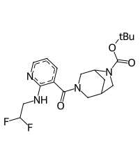 CC(C)(C)OC(=O)N1CC2CC1CN(C(=O)c1cccnc1NCC(F)F)C2